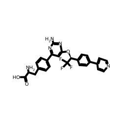 Nc1nc(O[C@@H](c2ccc(-c3ccncc3)cc2)C(F)(F)F)cc(-c2ccc(CC(N)C(=O)O)cc2)n1